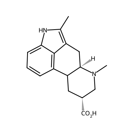 Cc1[nH]c2cccc3c2c1C[C@@H]1C3C[C@@H](C(=O)O)CN1C